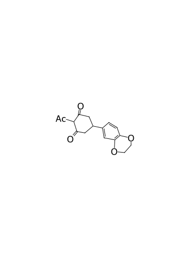 CC(=O)C1C(=O)CC(c2ccc3c(c2)OCCO3)CC1=O